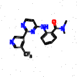 CN(C)C(=O)c1ccccc1Nc1ccnc(-c2cncc(C(F)(F)F)c2)n1